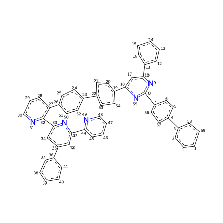 c1ccc(-c2ccc(-c3nc(-c4ccccc4)cc(-c4ccc(-c5ccc(-c6cccnc6-c6cc(-c7ccccc7)cc(-c7ccccn7)n6)cc5)cc4)n3)cc2)cc1